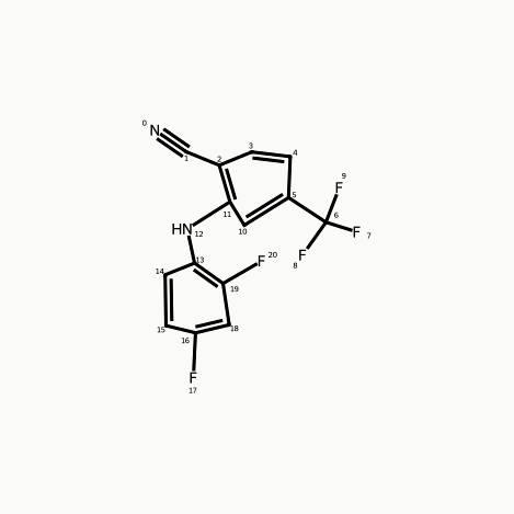 N#Cc1ccc(C(F)(F)F)cc1Nc1ccc(F)cc1F